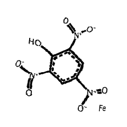 O=[N+]([O-])c1cc([N+](=O)[O-])c(O)c([N+](=O)[O-])c1.[Fe]